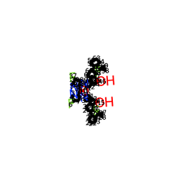 O=C(c1ncc(F)cc1N1CCC2(CC(O)c3cc(-c4ccccc4C4(F)CC4)ccc32)C1)c1ncc(F)cc1N1CCC2(CC(O)c3cc(-c4ccccc4C4(F)CC4)ccc32)C1